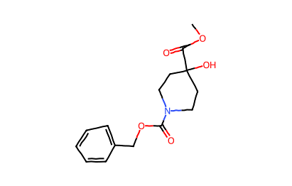 COC(=O)C1(O)CCN(C(=O)OCc2ccccc2)CC1